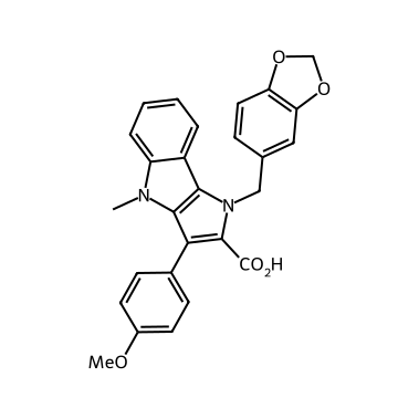 COc1ccc(-c2c(C(=O)O)n(Cc3ccc4c(c3)OCO4)c3c4ccccc4n(C)c23)cc1